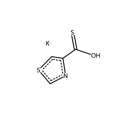 OC(=S)c1cscn1.[K]